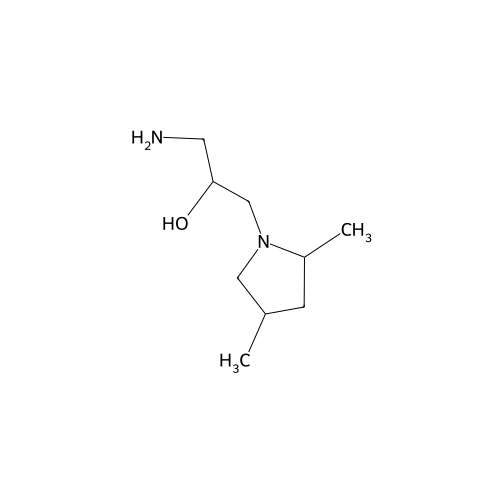 CC1CC(C)N(CC(O)CN)C1